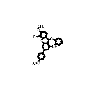 COc1ccc(C2CC(=O)C3=C(C2)Nc2ccccc2NC3c2ccc(OC)c(Br)c2)cc1